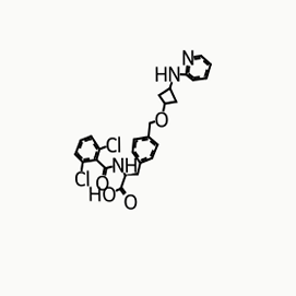 O=C(N[C@@H](Cc1ccc(COC2CC(Nc3ccccn3)C2)cc1)C(=O)O)c1c(Cl)cccc1Cl